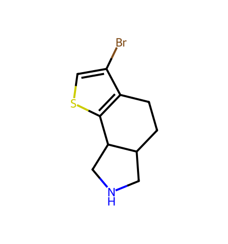 Brc1csc2c1CCC1CNCC21